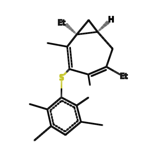 CCC1=C(C)C(Sc2c(C)c(C)cc(C)c2C)=C(C)[C@@]2(CC)C[C@H]2C1